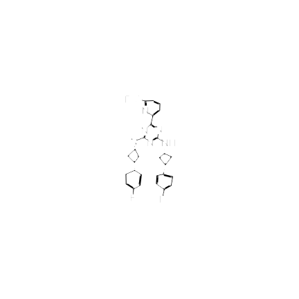 FC1=CCC([C@H]2C[C@H](Nc3nc(N[C@H]4C[C@H](c5ccc(F)cc5)C4)nc(-c4cccc(C(F)(F)F)n4)n3)C2)C=C1